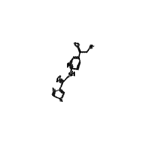 O=C(CBr)c1ccc(NC(=O)c2cscn2)nc1